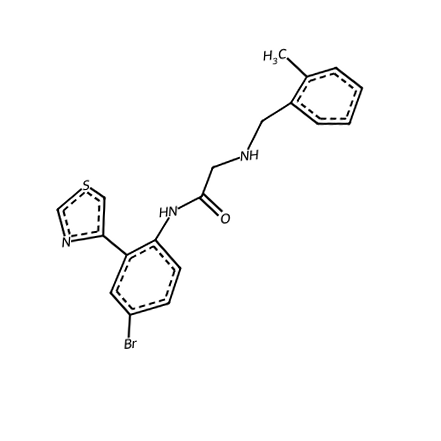 Cc1ccccc1CNCC(=O)Nc1ccc(Br)cc1-c1cscn1